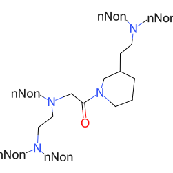 CCCCCCCCCN(CCCCCCCCC)CCC1CCCN(C(=O)CN(CCCCCCCCC)CCN(CCCCCCCCC)CCCCCCCCC)C1